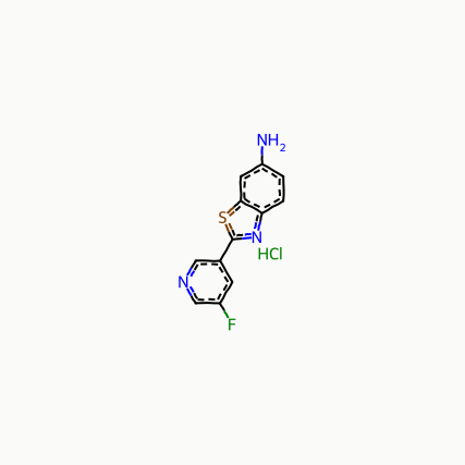 Cl.Nc1ccc2nc(-c3cncc(F)c3)sc2c1